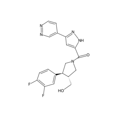 O=C(c1cc(-c2ccnnc2)n[nH]1)N1C[C@H](CO)[C@@H](c2ccc(F)c(F)c2)C1